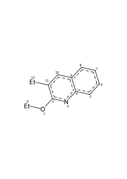 CCOc1nc2ccccc2cc1CC